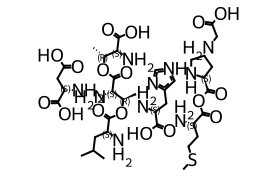 CC(C)C[C@H](N)C(=O)O[C@H](C)[C@H](N)C(=O)O[C@H](C)[C@H](N)C(=O)O.CSCC[C@H](N)C(=O)OC(=O)[C@@H]1CCCN1.NCC(=O)O.N[C@@H](CC(=O)O)C(=O)O.N[C@@H](Cc1c[nH]cn1)C(=O)O